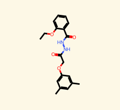 CCOc1ccccc1C(=O)NNC(=O)COc1cc(C)cc(C)c1